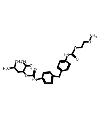 COCCOC(=O)Nc1ccc(Cc2ccc(NC(=O)OC(CC(C)C)C(C)C)cc2)cc1